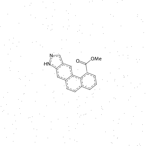 COC(=O)c1cccc2ccc3cc4[nH]ncc4cc3c12